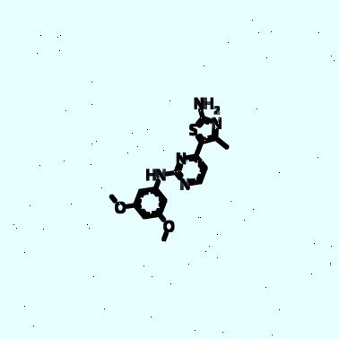 COc1cc(Nc2nccc(-c3sc(N)nc3C)n2)cc(OC)c1